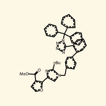 CCCCc1nc(-c2occc2C(=O)OC)cn1Cc1ccc(-c2ccccc2-c2nnnn2C(c2ccccc2)(c2ccccc2)c2ccccc2)cc1